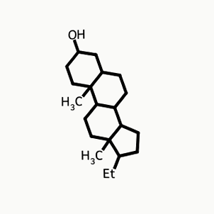 CCC1CCC2C3CCC4CC(O)CCC4(C)C3CCC12C